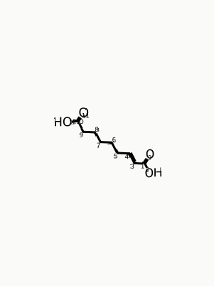 O=C(O)/C=C/CCCCCC(=O)O